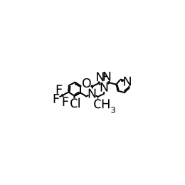 C[C@H]1Cn2c(nnc2-c2cccnc2)C(=O)N1Cc1cccc(C(F)(F)F)c1Cl